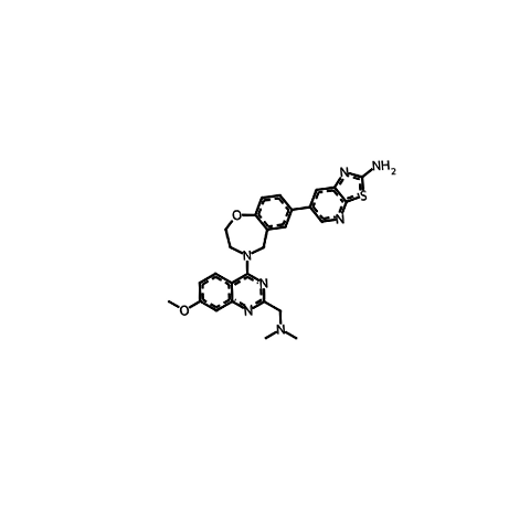 COc1ccc2c(N3CCOc4ccc(-c5cnc6sc(N)nc6c5)cc4C3)nc(CN(C)C)nc2c1